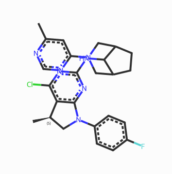 Cc1cc(N2CC3CCC(C2)C3Nc2nc(Cl)c3c(n2)N(c2ccc(F)cc2)C[C@H]3C)ncn1